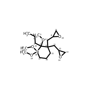 CCCC1(OC)C(CC2CO2)(CC2CO2)CCC[Si]1(OC)OC